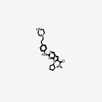 CN(C)C(=O)c1cc2cnc(Nc3ccc(CCN4CCNCC4)cc3)nc2n1C1CCCC1